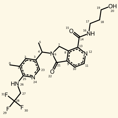 Cc1cc(C(C)N2Cc3c(ccnc3C(=O)NCCCO)C2=O)cnc1NCC(F)(F)F